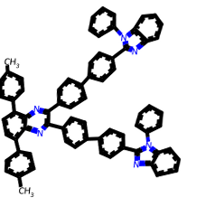 Cc1ccc(-c2ccc(-c3ccc(C)cc3)c3nc(-c4ccc(-c5ccc(-c6nc7ccccc7n6-c6ccccc6)cc5)cc4)c(-c4ccc(-c5ccc(-c6nc7ccccc7n6-c6ccccc6)cc5)cc4)nc23)cc1